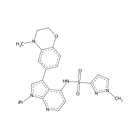 CC(C)n1cc(-c2ccc3c(c2)N(C)CCO3)c2c(NS(=O)(=O)c3ccn(C)n3)ccnc21